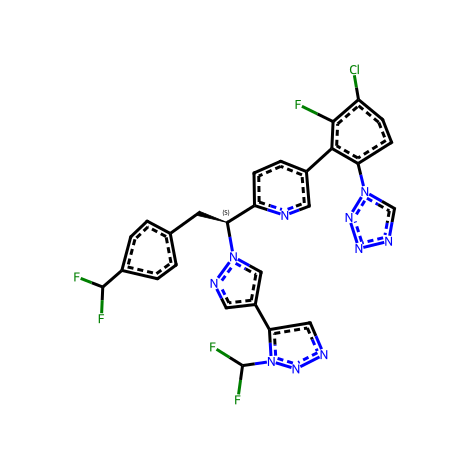 Fc1c(Cl)ccc(-n2cnnn2)c1-c1ccc([C@H](Cc2ccc(C(F)F)cc2)n2cc(-c3cnnn3C(F)F)cn2)nc1